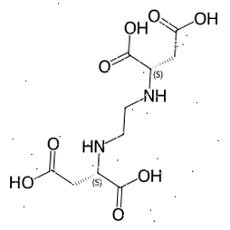 O=C(O)C[C@H](NCCN[C@@H](CC(=O)O)C(=O)O)C(=O)O